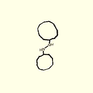 C1CCCCCC(NNC2CCCCCCCCC2)CCCC1